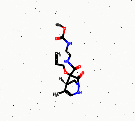 C=CCOC1(C(=O)NCCNC(=O)OC(C)(C)C)C(=O)N2C[C@H]1C(C)=CN2